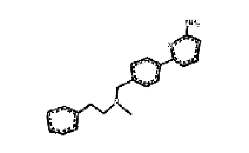 CN(CCc1ccccc1)Cc1ccc(-c2cccc(N)n2)cc1